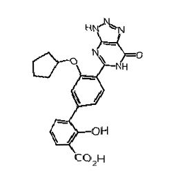 O=C(O)c1cccc(-c2ccc(-c3nc4[nH]nnc4c(=O)[nH]3)c(OC3CCCC3)c2)c1O